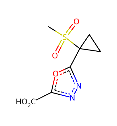 CS(=O)(=O)C1(c2nnc(C(=O)O)o2)CC1